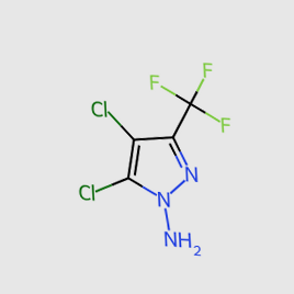 Nn1nc(C(F)(F)F)c(Cl)c1Cl